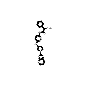 COC(C(=O)Nc1ccc(NC2CCN(c3nc4ncccc4s3)C2)nn1)c1ccccc1